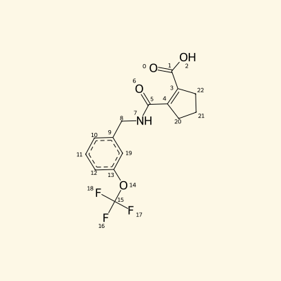 O=C(O)C1=C(C(=O)NCc2cccc(OC(F)(F)F)c2)CCC1